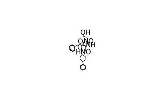 O=C(NC1CCC(c2ccccc2)CC1)c1[nH]c(=O)n(CCO)c(=O)c1OCc1ccccc1